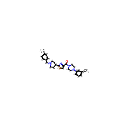 O=C(c1csc(C2CCN(Cc3ccc(C(F)(F)F)cc3)CC2)n1)N1CCN(c2cccc(C(F)(F)F)c2)CC1